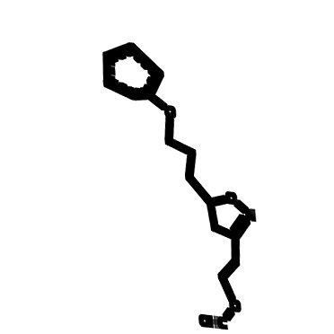 O=COCCC1=NOC(CCCOc2ccccc2)C1